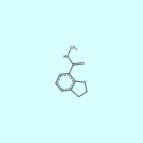 CNC(=O)c1cccc2c1OCC2